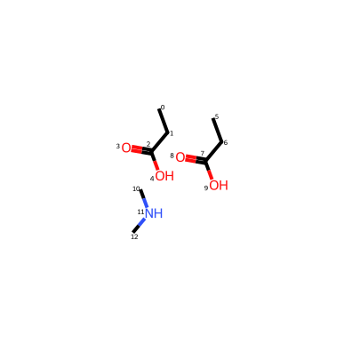 CCC(=O)O.CCC(=O)O.CNC